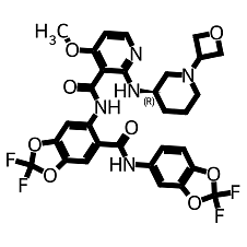 COc1ccnc(N[C@@H]2CCCN(C3COC3)C2)c1C(=O)Nc1cc2c(cc1C(=O)Nc1ccc3c(c1)OC(F)(F)O3)OC(F)(F)O2